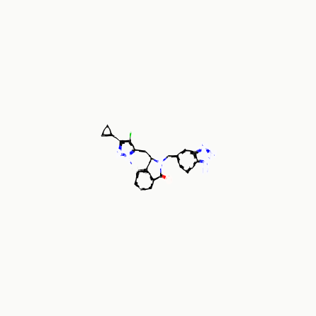 Cn1nc(C2CC2)c(Cl)c1CC1c2ccccc2C(=O)N1Cc1ccc2[nH]nnc2c1